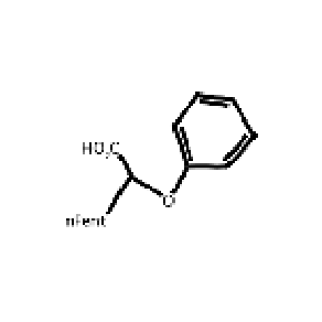 CCCCCC(Oc1ccccc1)C(=O)O